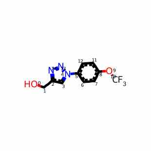 OCc1cn(-c2ccc(OC(F)(F)F)cc2)nn1